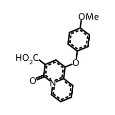 COc1ccc(Oc2cc(C(=O)O)c(=O)n3ccccc23)cc1